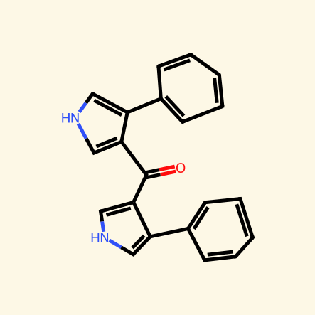 O=C(c1c[nH]cc1-c1ccccc1)c1c[nH]cc1-c1ccccc1